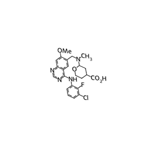 COc1cc2ncnc(Nc3cccc(Cl)c3F)c2cc1CN(C)C1CC(C(=O)O)CCO1